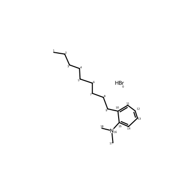 Br.CCCCCCCCCc1ccccc1N(C)C